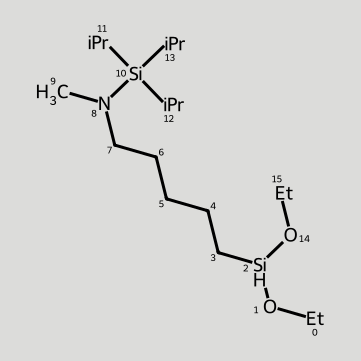 CCO[SiH](CCCCCN(C)[Si](C(C)C)(C(C)C)C(C)C)OCC